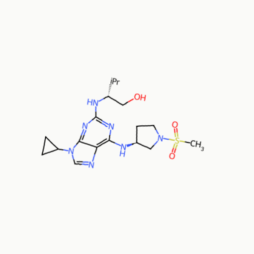 CC(C)[C@H](CO)Nc1nc(N[C@H]2CCN(S(C)(=O)=O)C2)c2ncn(C3CC3)c2n1